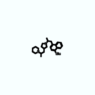 CC(CC1CCN(C(C)Cc2ccc(C(C)(C)C)c3ccccc23)C1)N1CCCCC1